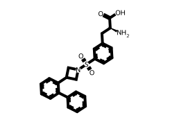 N[C@@H](Cc1cccc(S(=O)(=O)N2CC(c3ccccc3-c3ccccc3)C2)c1)C(=O)O